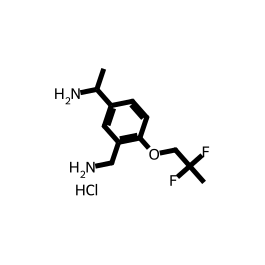 CC(N)c1ccc(OCC(C)(F)F)c(CN)c1.Cl